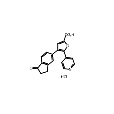 Cl.O=C(O)c1cc(-c2ccc3c(c2)CCC3=O)c(-c2ccncc2)o1